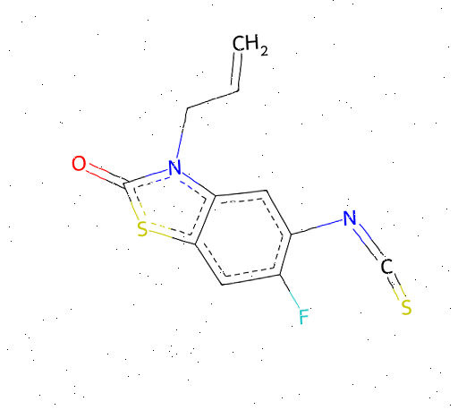 C=CCn1c(=O)sc2cc(F)c(N=C=S)cc21